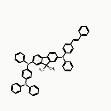 CC1(C)c2cc(N(c3ccccc3)c3ccc(C=Cc4ccccc4)cc3)ccc2-c2ccc(N(c3ccccc3)c3ccc(N(c4ccccc4)c4ccccc4)cc3)cc21